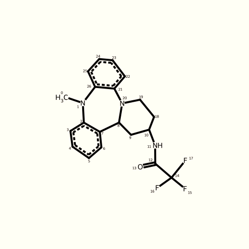 CN1c2ccccc2C2CC(NC(=O)C(F)(F)F)CCN2c2ccccc21